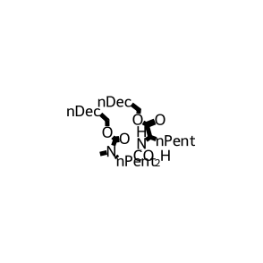 CCCCCCCCCCCOC(=O)C(CCCCC)NC(=O)O.CCCCCCCCCCCOC(=O)N(C)CCCCC